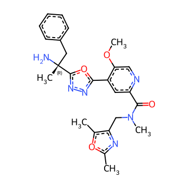 COc1cnc(C(=O)N(C)Cc2nc(C)oc2C)cc1-c1nnc([C@](C)(N)Cc2ccccc2)o1